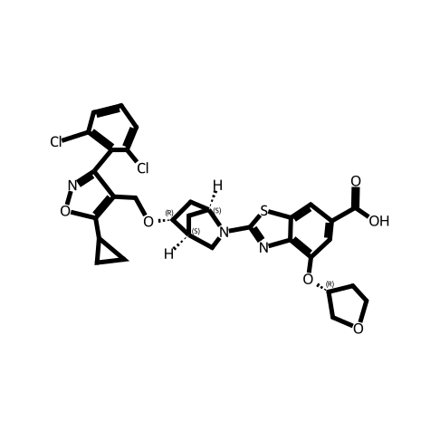 O=C(O)c1cc(O[C@@H]2CCOC2)c2nc(N3C[C@@H]4C[C@H]3C[C@H]4OCc3c(-c4c(Cl)cccc4Cl)noc3C3CC3)sc2c1